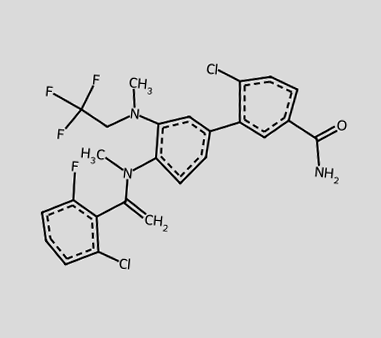 C=C(c1c(F)cccc1Cl)N(C)c1ccc(-c2cc(C(N)=O)ccc2Cl)cc1N(C)CC(F)(F)F